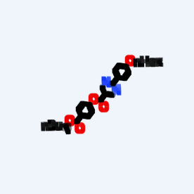 CCCCCCOc1ccc(-c2ncc(C(=O)Oc3ccc(C(=O)O[C@H](C)CCCC)cc3)cn2)cc1